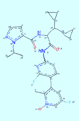 Cc1c(-c2ccc(NC(=O)C(NC(=O)c3ccnn3C(C)C)C(C3CC3)C3CC3)nc2F)cc(F)c[n+]1[O-]